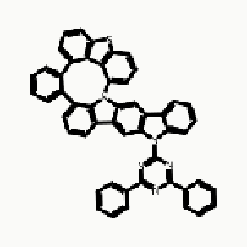 c1ccc(-c2nc(-c3ccccc3)nc(-n3c4ccccc4c4cc5c(cc43)c3cccc4c6ccccc6c6cccc7sc8cccc(c8c76)n5c43)n2)cc1